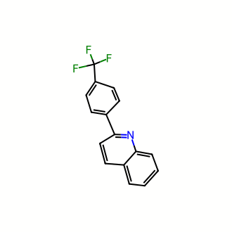 FC(F)(F)c1ccc(-c2ccc3ccccc3n2)cc1